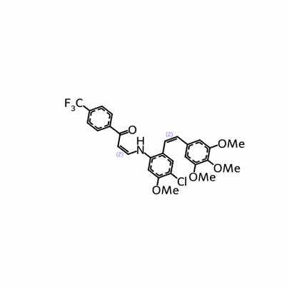 COc1cc(N/C=C\C(=O)c2ccc(C(F)(F)F)cc2)c(/C=C\c2cc(OC)c(OC)c(OC)c2)cc1Cl